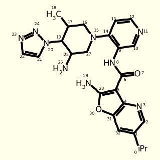 CC(C)c1cnc2c(C(=O)Nc3cnccc3N3CC(C)C(n4ccnn4)C(N)C3)c(N)oc2c1